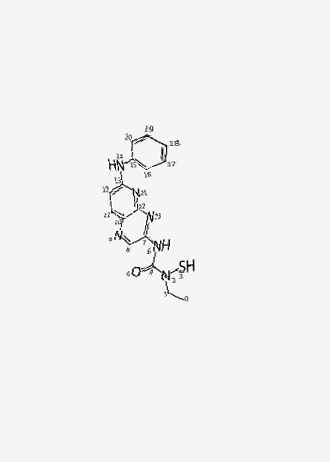 CCN(S)C(=O)Nc1cnc2ccc(Nc3ccccc3)nc2n1